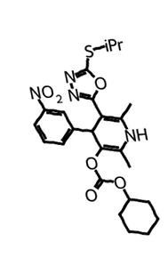 CC1=C(OC(=O)OC2CCCCC2)C(c2cccc([N+](=O)[O-])c2)C(c2nnc(SC(C)C)o2)=C(C)N1